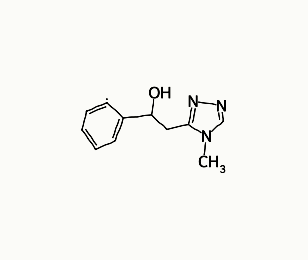 Cn1cnnc1CC(O)c1[c]cccc1